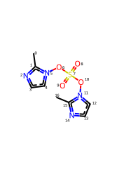 Cc1nccn1OS(=O)(=O)On1ccnc1C